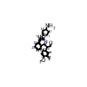 COc1ccc(/C(C=O)=C(/N=C(\N(C)C)N2CCC(N)CC2)c2ccccc2C#N)cc1F